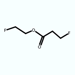 O=C(CCF)OCCF